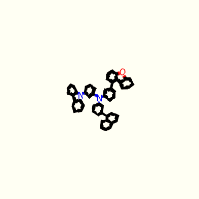 c1cc(-c2cccc3ccccc23)cc(N(c2cccc(-c3cccc4oc5ccccc5c34)c2)c2cccc(-n3c4ccccc4c4ccccc43)c2)c1